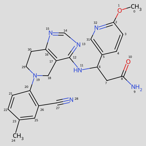 COc1ccc(C(CC(N)=O)Nc2ncnc3c2CN(c2ccc(C)cc2C#N)CC3)cn1